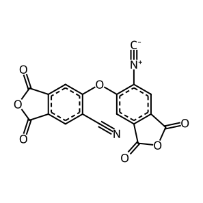 [C-]#[N+]c1cc2c(cc1Oc1cc3c(cc1C#N)C(=O)OC3=O)C(=O)OC2=O